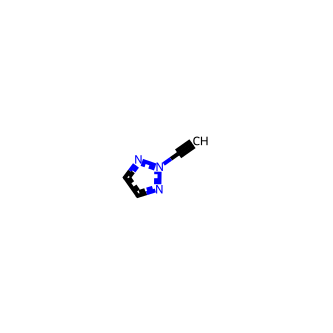 C#Cn1nccn1